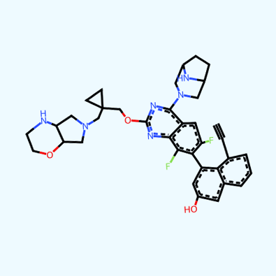 C#Cc1cccc2cc(O)cc(-c3c(F)cc4c(N5CC6CCC(C5)N6)nc(OCC5(CN6CC7NCCOC7C6)CC5)nc4c3F)c12